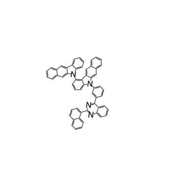 c1cc(-c2nc(-c3cccc4ccccc34)nc3ccccc23)cc(-n2c3cc4ccccc4cc3c3c(-n4c5ccccc5c5cc6ccccc6cc54)cccc32)c1